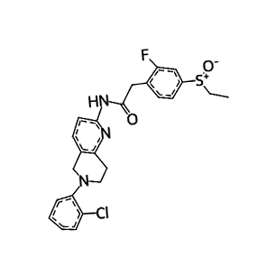 CC[S+]([O-])c1ccc(CC(=O)Nc2ccc3c(n2)CCN(c2ccccc2Cl)C3)c(F)c1